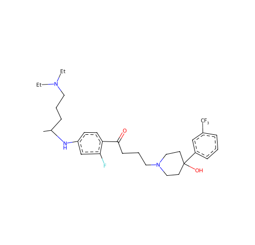 CCN(CC)CCCC(C)Nc1ccc(C(=O)CCCN2CCC(O)(c3cccc(C(F)(F)F)c3)CC2)c(F)c1